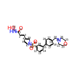 O=C(/C=C/c1ccn(S(=O)(=O)c2cccc(-c3ccc(CN4CCOCC4)cc3)c2)c1)NO